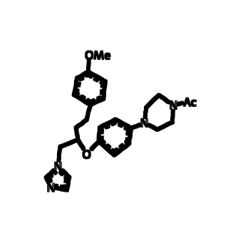 COc1ccc(CCC(Cn2ccnc2)Oc2ccc(N3CCN(C(C)=O)CC3)cc2)cc1